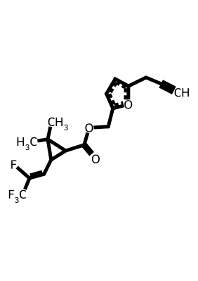 C#CCc1ccc(COC(=O)C2C(C=C(F)C(F)(F)F)C2(C)C)o1